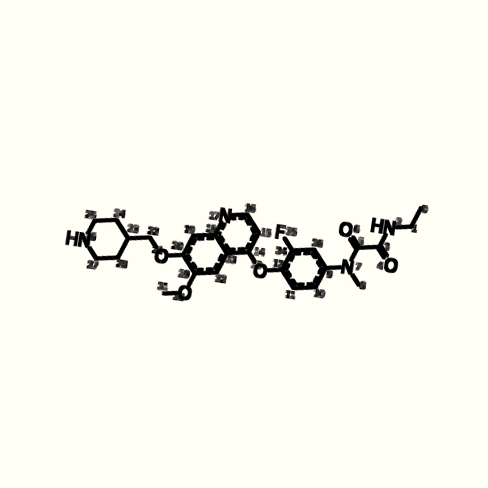 CCNC(=O)C(=O)N(C)c1ccc(Oc2ccnc3cc(OCC4CCNCC4)c(OC)cc23)c(F)c1